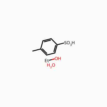 CCO.Cc1ccc(S(=O)(=O)O)cc1.O